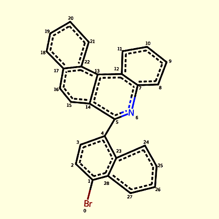 Brc1ccc(-c2nc3ccccc3c3c2ccc2ccccc23)c2ccccc12